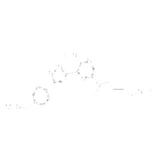 CNCc1ccc(-c2nnc(-c3nc(N(C)CCCCNC(C)=O)cnc3N)o2)cc1